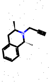 C#CCN1[C@H](C)Cc2ccccc2[C@H]1C